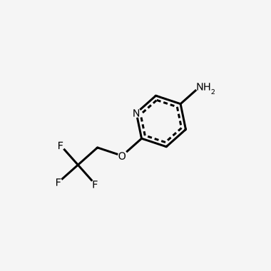 Nc1ccc(OCC(F)(F)F)nc1